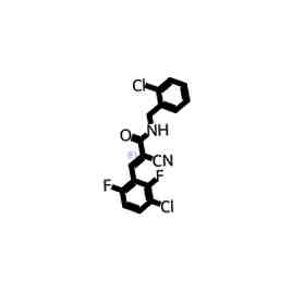 N#C/C(=C\c1c(F)ccc(Cl)c1F)C(=O)NCc1ccccc1Cl